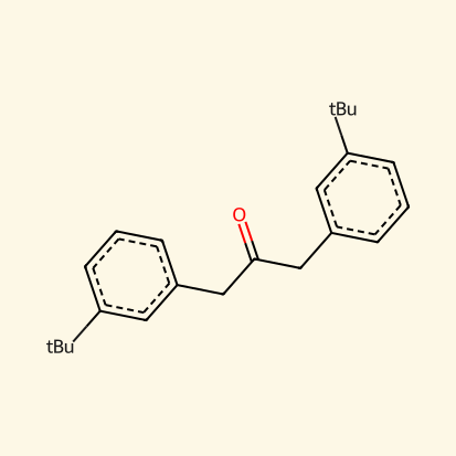 CC(C)(C)c1cccc(CC(=O)Cc2cccc(C(C)(C)C)c2)c1